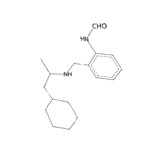 CC(CC1CCCCC1)NCc1ccccc1NC=O